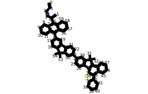 C=C/C=C\C(=C)c1c2ccccc2c(-c2ccc3c(c2)-c2ccc(-c4ccc5c(c4)C(C)(C)c4c-5c5sc6ccccc6c5c5ccccc45)cc2C3(C)C)c2ccccc12